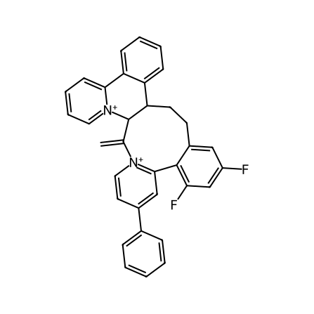 C=C1C2C(CCc3cc(F)cc(F)c3-c3cc(-c4ccccc4)cc[n+]31)c1ccccc1-c1cccc[n+]12